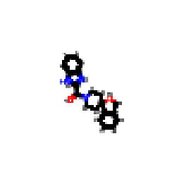 O=C(c1nc2ccccc2[nH]1)N1CCC2(CC1)OCc1ccccc12